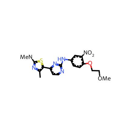 CNc1nc(C)c(-c2ccnc(Nc3ccc(OCCOC)c([N+](=O)[O-])c3)n2)s1